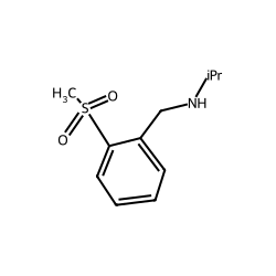 CC(C)NCc1ccccc1S(C)(=O)=O